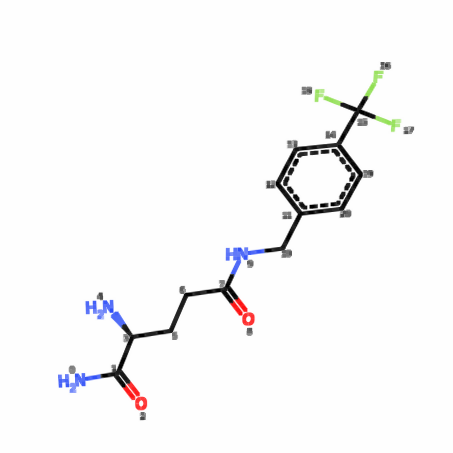 NC(=O)[C@@H](N)CCC(=O)NCc1ccc(C(F)(F)F)cc1